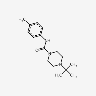 Cc1ccc(NC(=O)N2CCN(C(C)(C)C)CC2)cc1